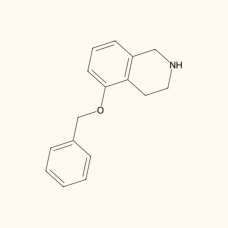 c1ccc(COc2cccc3c2CCNC3)cc1